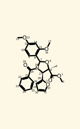 COC(=O)[C@]1(C)OC(c2ccc(OC)cc2OC)N(C(=O)c2ccccc2)[C@@H]1c1ccco1